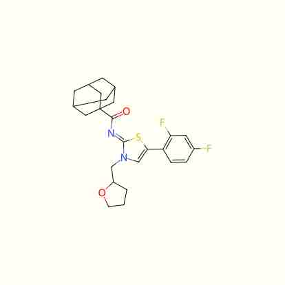 O=C(N=c1sc(-c2ccc(F)cc2F)cn1CC1CCCO1)C12CC3CC(CC(C3)C1)C2